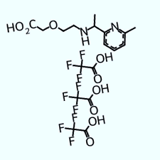 Cc1cccc(C(C)NCCOCC(=O)O)n1.O=C(O)C(F)(F)F.O=C(O)C(F)(F)F.O=C(O)C(F)(F)F